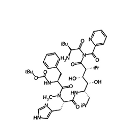 CC[C@H](C)[C@H](N)C(=O)N(C(=O)c1ccccn1)C(=O)[C@H](C(C)C)[C@@H](O)[C@H](O)[C@H](CC(C)C)NC(=O)[C@H](Cc1c[nH]cn1)N(C)C(=O)[C@H](Cc1ccccc1)NC(=O)OC(C)(C)C